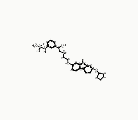 CS(=O)(=O)Nc1cccc(C(O)CNCCOc2ccc3c(c2)[nH]c2cc(OC4CCCC4)ccc23)c1